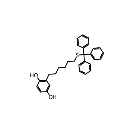 Oc1ccc(O)c(CCCCCCSC(c2ccccc2)(c2ccccc2)c2ccccc2)c1